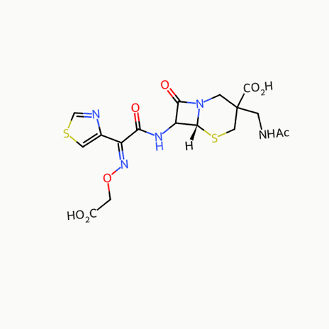 CC(=O)NCC1(C(=O)O)CS[C@@H]2C(NC(=O)C(=NOCC(=O)O)c3cscn3)C(=O)N2C1